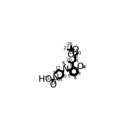 COc1cccc(N(C)C2CCN(C(=O)O)CC2)c1C(C)CC1COC(C)(C)O1